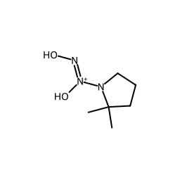 CC1(C)CCCN1/[N+](O)=N/O